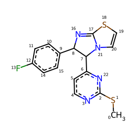 CSc1nccc(C2C(c3ccc(F)cc3)N=C3SC=CN32)n1